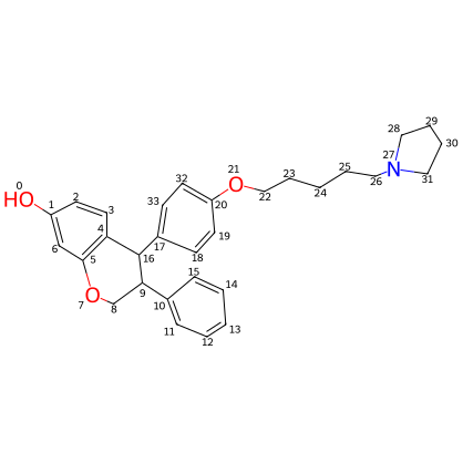 Oc1ccc2c(c1)OCC(c1ccccc1)C2c1ccc(OCCCCCN2CCCC2)cc1